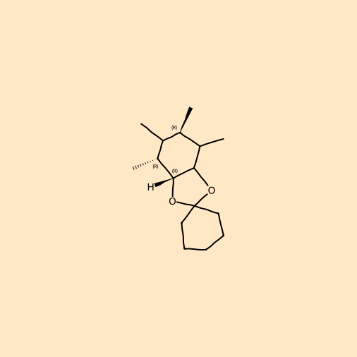 CC1C2OC3(CCCCC3)O[C@@H]2[C@H](C)C(C)[C@H]1C